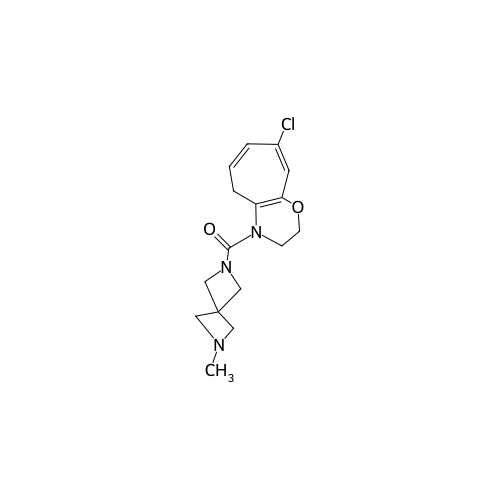 CN1CC2(C1)CN(C(=O)N1CCOC3=C1CC=CC(Cl)=C3)C2